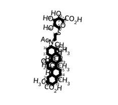 CC(=O)N(CCS[C@@H]1O[C@H](C(=O)O)[C@@H](O)[C@H](O)[C@H]1O)[C@H]1CC[C@]2(C)[C@H]3C(=O)C=C4[C@@H]5CC(C)(C(=O)O)CC[C@]5(C)CC[C@@]4(C)[C@]3(C)CC[C@H]2C1(C)C